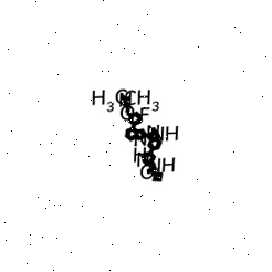 CN(C)CCOc1cc(F)cc(-c2cccc3[nH]c(-c4n[nH]c5ccc(-c6cncc(NC(=O)C7CCC7)c6)cc45)cc23)c1